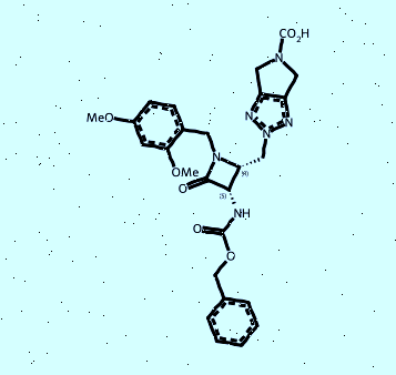 COc1ccc(CN2C(=O)[C@@H](NC(=O)OCc3ccccc3)[C@H]2Cn2nc3c(n2)CN(C(=O)O)C3)c(OC)c1